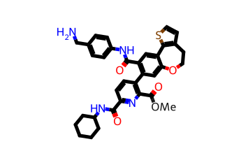 COC(=O)c1nc(C(=O)NC2CCCCC2)ccc1-c1cc2c(cc1C(=O)Nc1ccc(CN)cc1)-c1sccc1CCO2